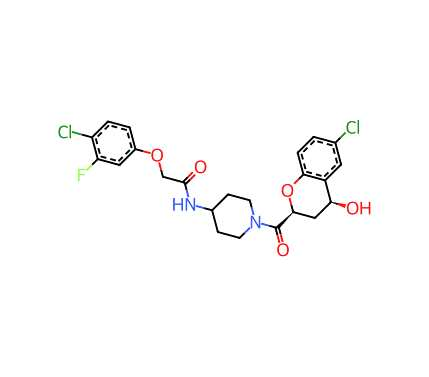 O=C(COc1ccc(Cl)c(F)c1)NC1CCN(C(=O)[C@@H]2C[C@H](O)c3cc(Cl)ccc3O2)CC1